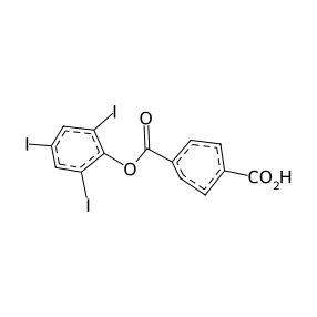 O=C(O)c1ccc(C(=O)Oc2c(I)cc(I)cc2I)cc1